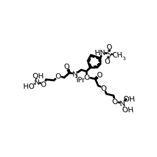 CC(C)N(CC(OC(=O)COCCON(O)O)c1ccc(NS(C)(=O)=O)cc1)C(=O)COCCON(O)O